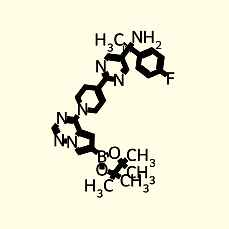 CC1(C)OB(c2cc3c(N4CC=C(c5ncc([C@@](C)(N)c6ccc(F)cc6)cn5)CC4)ncnn3c2)OC1(C)C